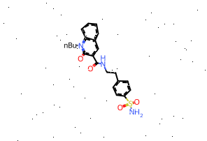 CCCCn1c(=O)c(C(=O)NCCc2ccc(S(N)(=O)=O)cc2)cc2ccccc21